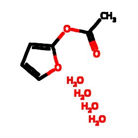 CC(=O)Oc1ccco1.O.O.O.O